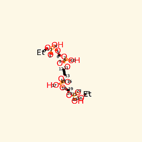 CCOP(=O)(O)OCOP(=O)(O)OCCOP(=O)(O)OCOP(=O)(O)OCC